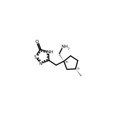 C[C@H]1CC[C@](CN)(Cc2nsc(=O)[nH]2)C1